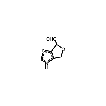 O=CC1OCc2[nH]cnc21